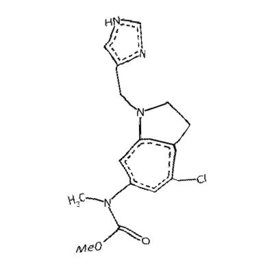 COC(=O)N(C)c1cc(Cl)c2c(c1)N(Cc1c[nH]cn1)CC2